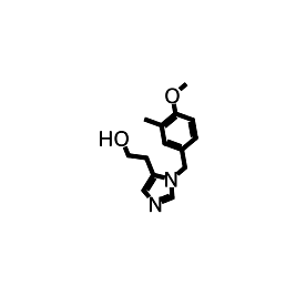 COc1ccc(Cn2cncc2CCO)cc1C